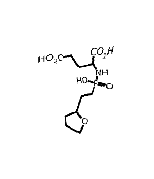 O=C(O)CCC(NP(=O)(O)CCC1CCCO1)C(=O)O